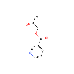 CC(C)C(=O)COC(=O)c1cccnc1